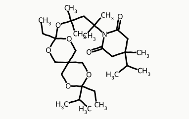 CCC1(OC(C)(C)CC(C)(C)N2C(=O)CC(C)(C(C)C)CC2=O)OCC2(CO1)COC(CC)(C(C)C)OC2